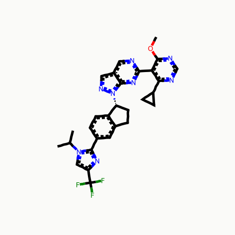 COc1ncnc(C2CC2)c1-c1ncc2cnn([C@@H]3CCc4cc(-c5nc(C(F)(F)F)cn5C(C)C)ccc43)c2n1